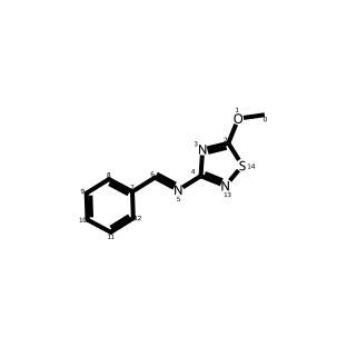 COc1nc(N=Cc2ccccc2)ns1